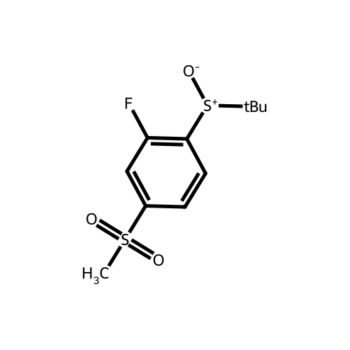 CC(C)(C)[S+]([O-])c1ccc(S(C)(=O)=O)cc1F